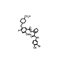 COc1cc(F)c(OC2CCC(C(=O)O)CC2)cc1C(=O)NC1C2CCC(C2)C1C(=O)Nc1ccc(C#N)c(Br)c1